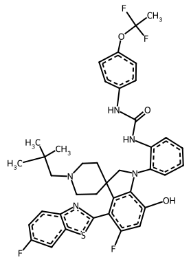 CC(C)(C)CN1CCC2(CC1)CN(c1ccccc1NC(=O)Nc1ccc(OC(C)(F)F)cc1)c1c(O)cc(F)c(-c3nc4ccc(F)cc4s3)c12